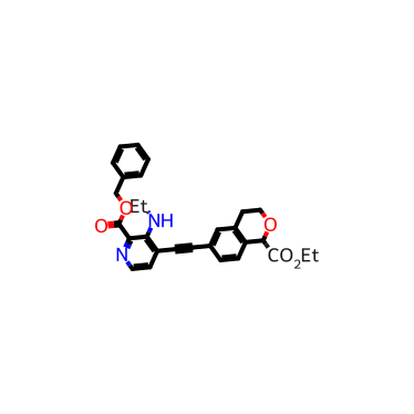 CCNc1c(C#Cc2ccc3c(c2)CCOC3C(=O)OCC)ccnc1C(=O)OCc1ccccc1